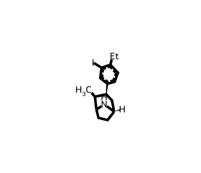 CCc1ccc([C@H]2C[C@H]3CCC(N3)C2C)cc1I